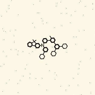 Cc1ccc(-c2cc(C3CCCCC3)cc(C3CCCCC3)c2)cc1-c1cccc(N(c2cccc(C3CCCCC3)c2)c2ccc3c(c2)C(C)(C)c2ccccc2-3)c1